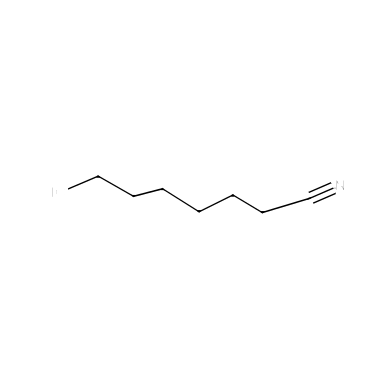 N#CCCCCCCO